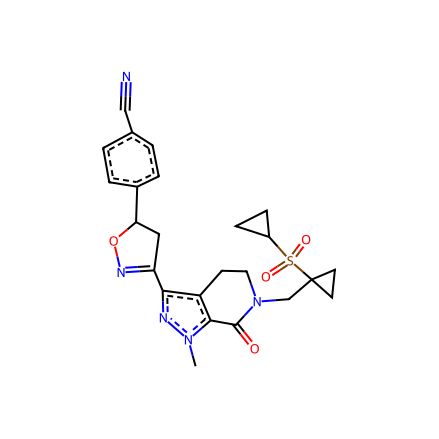 Cn1nc(C2=NOC(c3ccc(C#N)cc3)C2)c2c1C(=O)N(CC1(S(=O)(=O)C3CC3)CC1)CC2